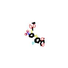 CCOC(=O)CSc1cc(Sc2cc(F)cc(C3(OC)CCOCC3)c2)ccc1[N+](=O)[O-]